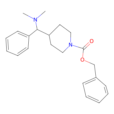 CN(C)C(c1ccccc1)C1CCN(C(=O)OCc2ccccc2)CC1